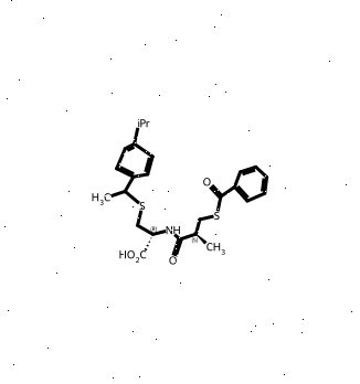 CC(C)c1ccc(C(C)SC[C@H](NC(=O)[C@H](C)CSC(=O)c2ccccc2)C(=O)O)cc1